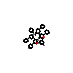 Cc1cc(C)c(B2c3ccc(-c4ccccc4)cc3-c3cc(-c4ccccc4)ccc3N(c3ccccc3)c3ccc(-c4ccccc4)cc3-c3cc(-c4ccccc4)ccc32)c(C)c1